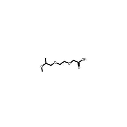 COC(C)COCCOCC(=O)O